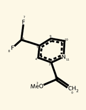 C=C(OC)c1cc(C(F)F)ccn1